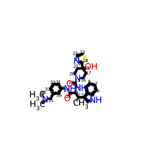 C[C@H](c1c[nH]c2ccccc12)[C@@H](NC(=O)N1CCC(O)(c2nccs2)CC1)C(=O)Nc1cccc(CN(C)C)c1